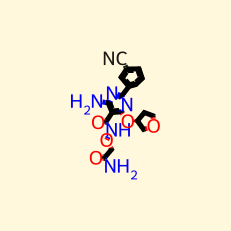 N#Cc1cccc(-c2nc(N)c(C(=O)NOCC(N)=O)c(O[C@H]3CCOC3)n2)c1